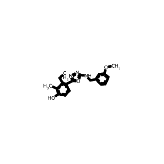 CCc1c(-c2nnc(NCc3cccc(OC)c3)o2)ccc(O)c1C